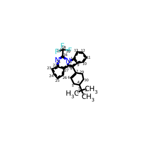 CC(C)(C)C1CC=C(c2c3ccccc3n3c(C(F)(F)F)nc4ccccc4c23)CC1